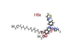 Br.CCCCCCCCCCCCCCOc1cc(CN(C(=O)NC)c2cccc(CN3C=CSC3)c2)ccc1OC